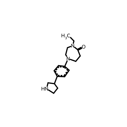 CCN1CCN(c2ccc(C3CCNC3)cc2)CCC1=O